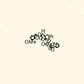 COc1cccc2cc(OC(=O)NC(CC(C)C)C(=O)N3CCC4C3C(=O)CN4S(=O)(=O)C(=O)c3ccccn3)oc12